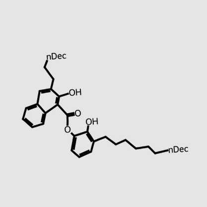 CCCCCCCCCCCCCCCCc1cccc(OC(=O)c2c(O)c(CCCCCCCCCCCC)cc3ccccc23)c1O